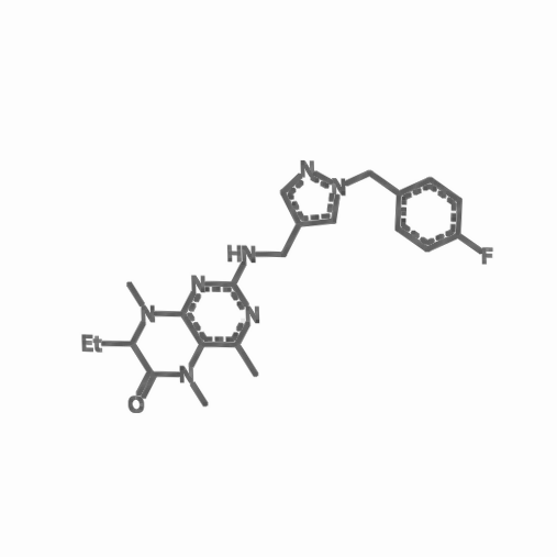 CCC1C(=O)N(C)c2c(C)nc(NCc3cnn(Cc4ccc(F)cc4)c3)nc2N1C